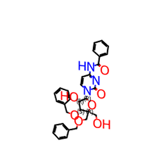 O=C(Nc1ccn([C@@H]2O[C@](CO)(COCc3ccccc3)[C@@H](OCc3ccccc3)[C@H]2O)c(=O)n1)c1ccccc1